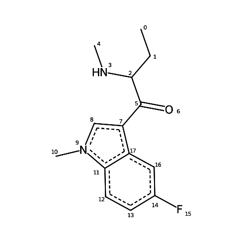 CCC(NC)C(=O)c1cn(C)c2ccc(F)cc12